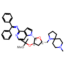 COC(C)(C)O[C@@H]1C[C@@H](CN2CCCC23CCN(C)CC3)O[C@H]1n1ccc2c(N=C(c3ccccc3)c3ccccc3)nccc21